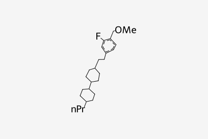 CCCC1CCC(C2CCC(CCc3ccc(COC)c(F)c3)CC2)CC1